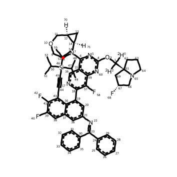 [2H]C([2H])(Oc1nc(N2CCOC[C@H]3C[C@H]32)c2cnc(-c3cc(N=C(c4ccccc4)c4ccccc4)cc4cc(F)c(F)c(C#C[Si](C(C)C)(C(C)C)C(C)C)c34)c(F)c2n1)[C@@]12CCCN1C[C@H](F)C2